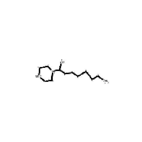 CCCCCCCC(O)N1CCNCC1